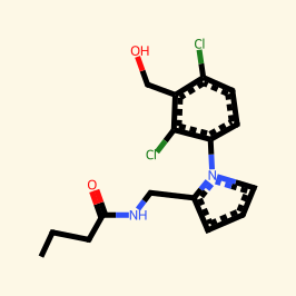 CCCC(=O)NCc1cccn1-c1ccc(Cl)c(CO)c1Cl